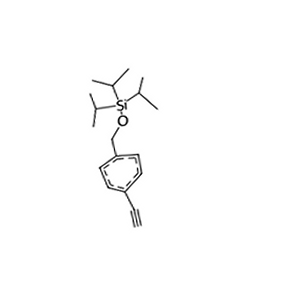 C#Cc1ccc(CO[Si](C(C)C)(C(C)C)C(C)C)cc1